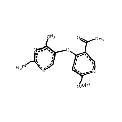 COc1cc(Oc2cnc(N)nc2N)c(C(N)=O)cn1